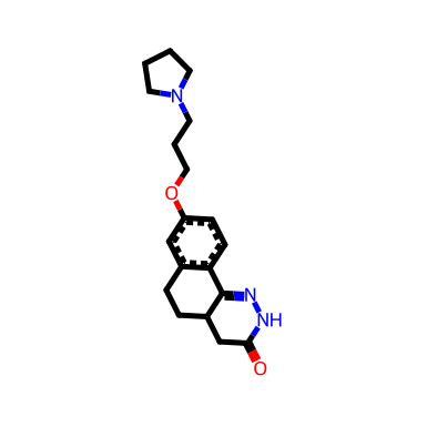 O=C1CC2CCc3cc(OCCCN4CCCC4)ccc3C2=NN1